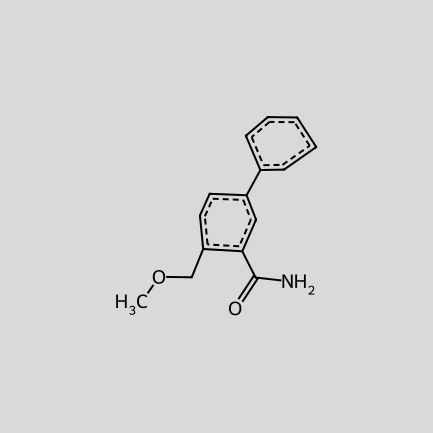 COCc1ccc(-c2ccccc2)cc1C(N)=O